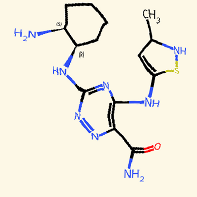 CC1C=C(Nc2nc(N[C@@H]3CCCC[C@@H]3N)nnc2C(N)=O)SN1